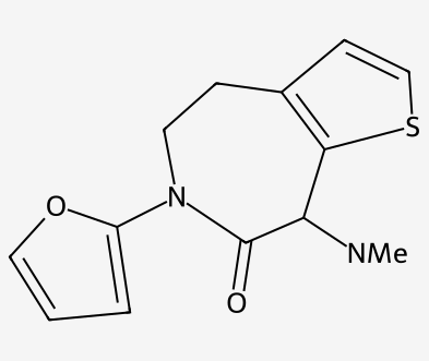 CNC1C(=O)N(c2ccco2)CCc2ccsc21